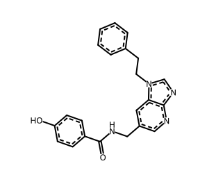 O=C(NCc1cnc2ncn(CCc3ccccc3)c2c1)c1ccc(O)cc1